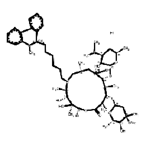 CC[C@H]1OC(=O)[C@H](C)[C@@H](O[C@H]2C[C@@](C)(OC)[C@@H](O)[C@H](C)O2)[C@H](C)[C@@H](O[C@@H]2O[C@H](C)C[C@H](N(C)C)[C@H]2O)[C@](C)(O)C[C@@H](C)CN(CCCCCCPc2ccccc2-c2ccccc2N(C)C)[C@H](C)[C@@H](O)[C@]1(C)O.I